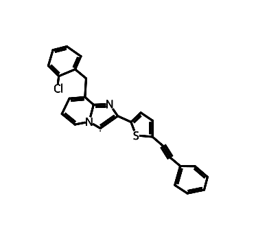 Clc1ccccc1Cc1cccn2[c]c(-c3ccc(C#Cc4ccccc4)s3)nc12